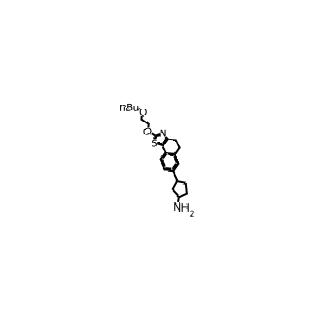 CCCCOCCOc1nc2c(s1)-c1ccc(C3CCC(N)C3)cc1CC2